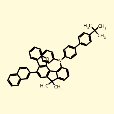 CC(C)(C)c1ccc(-c2ccc(N(c3ccccc3)c3cccc4c3-c3c(cc(-c5ccc6ccccc6c5)c5c3oc3ccccc35)C4(C)C)cc2)cc1